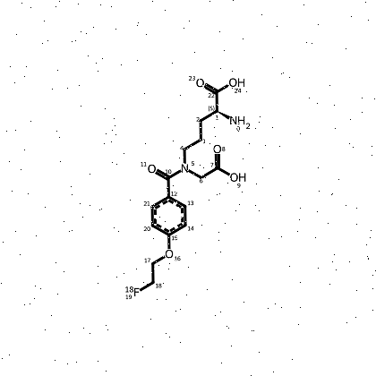 N[C@@H](CCCN(CC(=O)O)C(=O)c1ccc(OCC[18F])cc1)C(=O)O